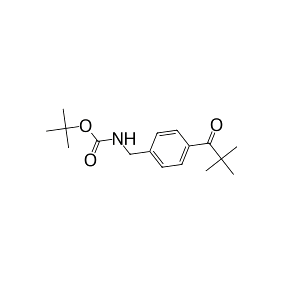 CC(C)(C)OC(=O)NCc1ccc(C(=O)C(C)(C)C)cc1